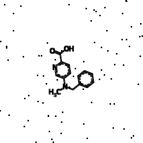 CN(Cc1ccccc1)c1ccc(C(=O)O)nc1